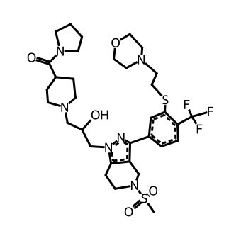 CS(=O)(=O)N1CCc2c(c(-c3ccc(C(F)(F)F)c(SCCN4CCOCC4)c3)nn2CC(O)CN2CCC(C(=O)N3CCCC3)CC2)C1